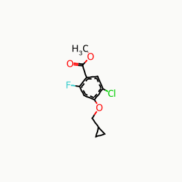 COC(=O)c1cc(Cl)c(OCC2CC2)cc1F